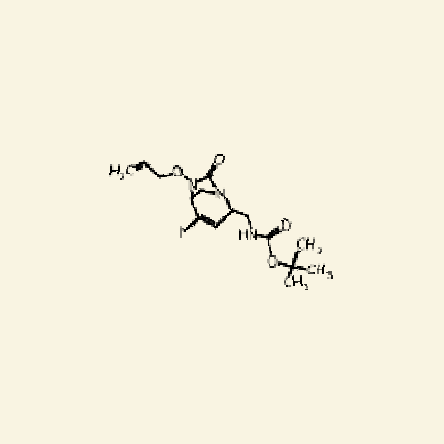 C=CCON1C(=O)N2CC1C(I)=CC2CNC(=O)OC(C)(C)C